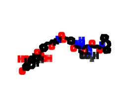 C[C@]12C=CC(=O)C=C1CC[C@@H]1[C@@H]2[C@@H](O)C[C@@]2(C)[C@H]1C[C@H]1O[C@@H](c3ccc(CC4CC5(CO4)CN(C(=O)OCc4ccc(NC(=O)[C@H](CCC(=O)O)NC(=O)CNC(=O)CCC(=O)N6Cc7ccccc7C#Cc7ccccc76)cc4)C5)cc3)O[C@]12C(=O)CO